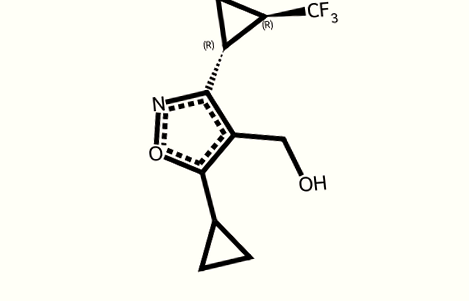 OCc1c([C@@H]2C[C@H]2C(F)(F)F)noc1C1CC1